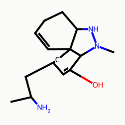 CC(N)CC1C=C(O)C2N(C)NC3CCC=CC32C1